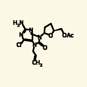 C=CCn1c(=O)n([C@H]2CC[C@@H](COC(C)=O)O2)c2nc(N)nc(Cl)c21